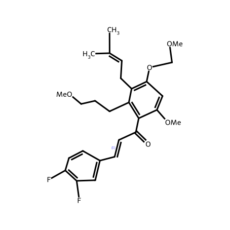 COCCCc1c(CC=C(C)C)c(OCOC)cc(OC)c1C(=O)/C=C/c1ccc(F)c(F)c1